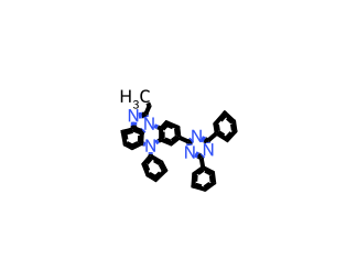 CCc1nc2cccc3c2n1-c1ccc(-c2nc(-c4ccccc4)nc(-c4ccccc4)n2)cc1N3c1ccccc1